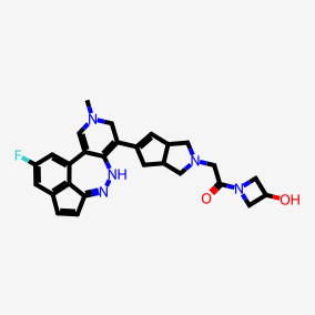 CN1C=C2C(=C(C3=CC4CN(CC(=O)N5CC(O)C5)CC4C3)C1)NN=C1C=Cc3cc(F)cc2c31